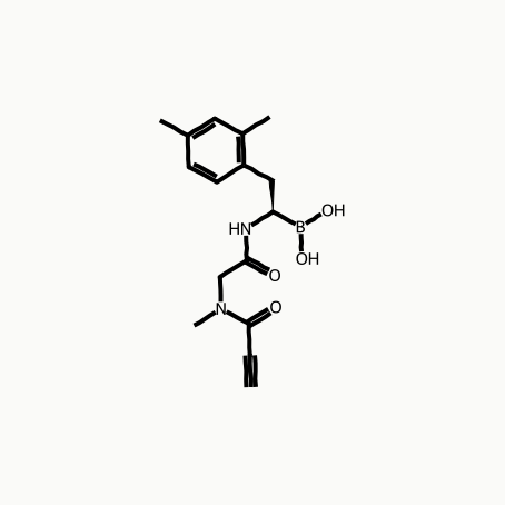 C#CC(=O)N(C)CC(=O)N[C@@H](Cc1ccc(C)cc1C)B(O)O